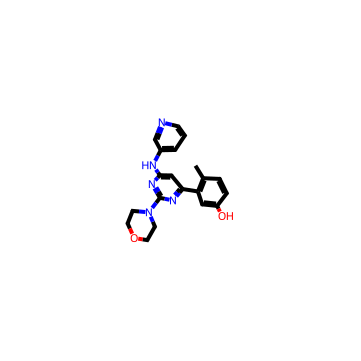 Cc1ccc(O)cc1-c1cc(Nc2cccnc2)nc(N2CCOCC2)n1